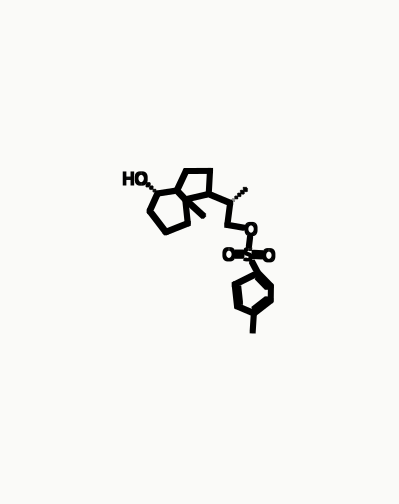 Cc1ccc(S(=O)(=O)OC[C@@H](C)C2CCC3[C@@H](O)CCCC23C)cc1